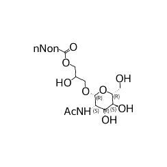 CCCCCCCCCC(=O)OCC(O)CO[C@@H]1O[C@H](CO)[C@@H](O)[C@H](O)[C@@H]1NC(C)=O